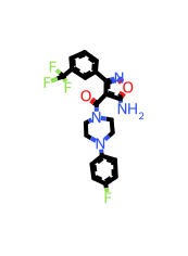 Nc1onc(-c2cccc(C(F)(F)F)c2)c1C(=O)N1CCN(c2ccc(F)cc2)CC1